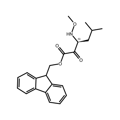 CON[C@@H](CC(C)C)C(=O)C(=O)OCC1c2ccccc2-c2ccccc21